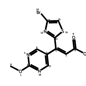 COc1ncc(C(=CC(=O)O)c2nc(Br)cs2)cn1